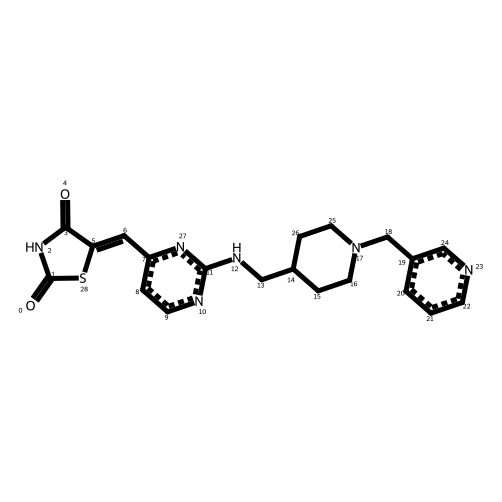 O=C1NC(=O)/C(=C/c2ccnc(NCC3CCN(Cc4cccnc4)CC3)n2)S1